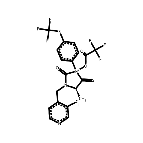 Cc1cnccc1CN1C(=O)[N+](OC(=O)C(F)(F)F)(c2ccc(SC(F)(F)F)cc2)C(=S)[C@H]1C